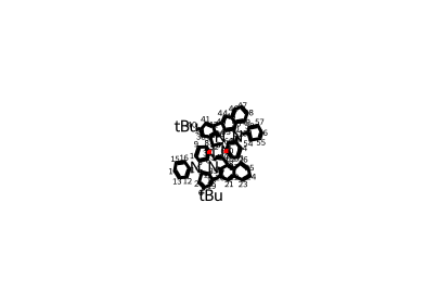 CC(C)(C)c1cc(N(c2ccccc2)c2ccccc2)c2c(c1)c1cc3ccccc3c3c4nc5c(nc4n2c13)c1cc(C(C)(C)C)cc2c3cc4ccccc4c(N(c4ccccc4)c4ccccc4)c3n5c21